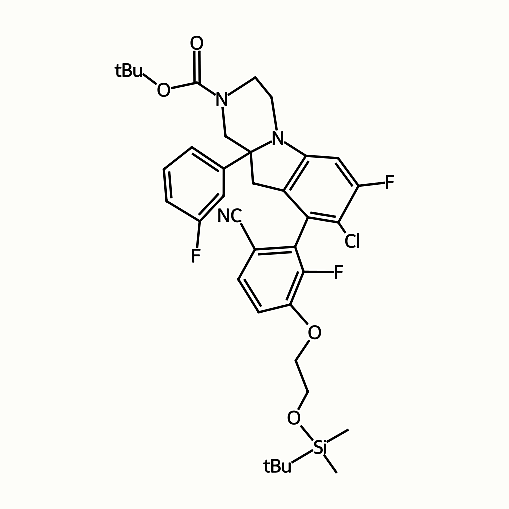 CC(C)(C)OC(=O)N1CCN2c3cc(F)c(Cl)c(-c4c(C#N)ccc(OCCO[Si](C)(C)C(C)(C)C)c4F)c3CC2(c2cccc(F)c2)C1